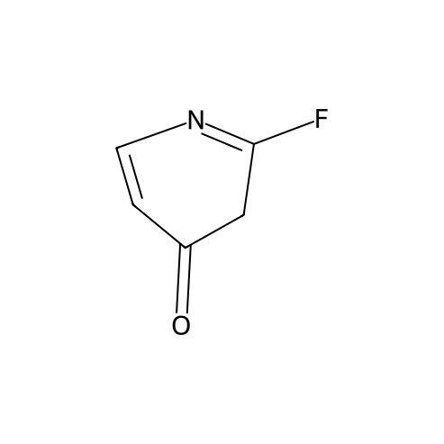 O=C1C=CN=C(F)C1